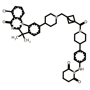 CC1(C)c2ccc(C3CCN(CC45CC(C(=O)N6CCC(c7ccc(NN8C(=O)CCCC8=O)cc7)CC6)(C4)C5)CC3)cc2-n2c1nc(=O)c1c(Cl)cccc12